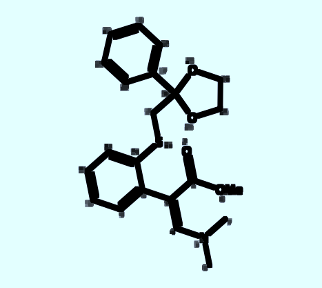 COC(=O)C(=CN(C)C)c1ccccc1SCC1(c2ccccc2)OCCO1